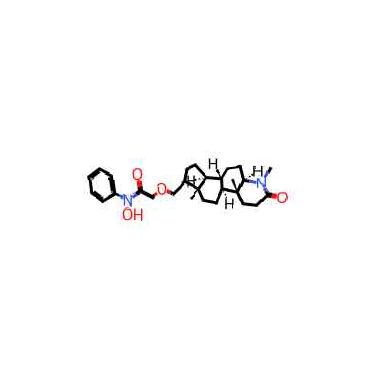 CN1C(=O)CC[C@]2(C)[C@H]3CC[C@]4(C)C(COCC(=O)N(O)c5ccccc5)CC[C@H]4[C@@H]3CC[C@@H]12